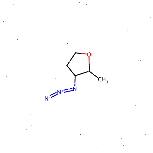 CC1OCCC1N=[N+]=[N-]